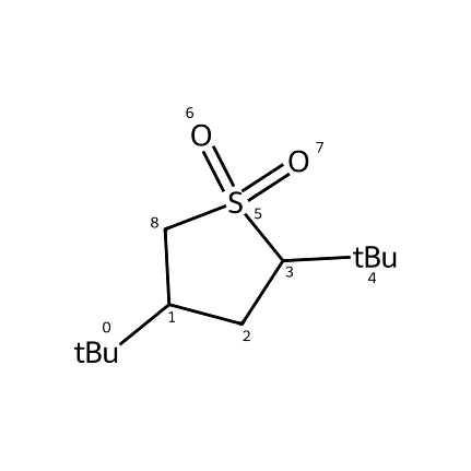 CC(C)(C)C1CC(C(C)(C)C)S(=O)(=O)C1